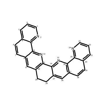 c1cnc2c(c1)ccc1cc3c(nc12)-c1nc2c(ccc4cccnc42)cc1CC3